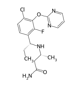 CC[C@@H](N[C@H](C)CC(N)=O)c1ccc(Cl)c(Oc2ncccn2)c1F